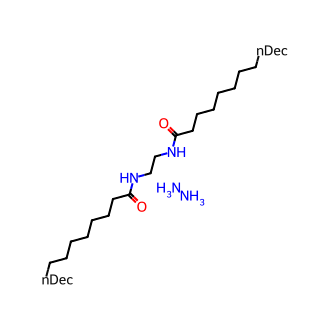 CCCCCCCCCCCCCCCCCC(=O)NCCNC(=O)CCCCCCCCCCCCCCCCC.N.N